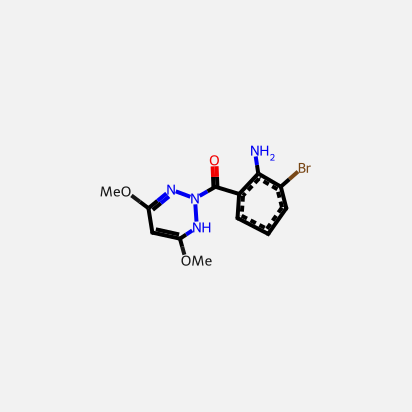 COC1=CC(OC)=NN(C(=O)c2cccc(Br)c2N)N1